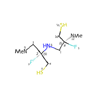 CNC[C@](F)(CS)NC[C@](F)(CS)NC